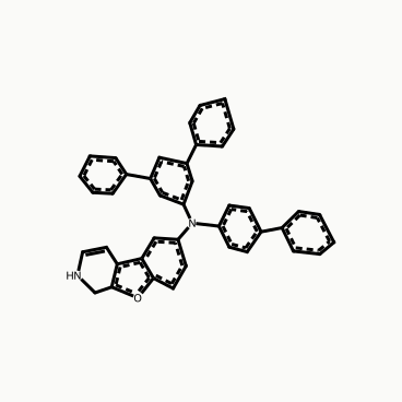 C1=Cc2c(oc3ccc(N(c4ccc(-c5ccccc5)cc4)c4cc(-c5ccccc5)cc(-c5ccccc5)c4)cc23)CN1